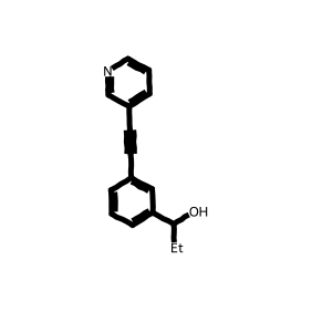 [CH2]CC(O)c1cccc(C#Cc2cccnc2)c1